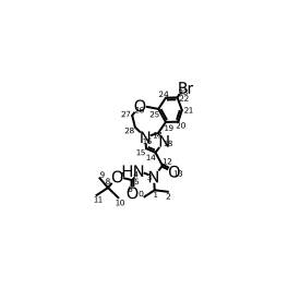 CC(C)N(NC(=O)OC(C)(C)C)C(=O)c1cn2c(n1)-c1ccc(Br)cc1OCC2